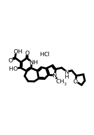 Cl.Cn1c(CNCC2CCCO2)cc2cc3c(cc21)CCCc1c-3[nH]c(=O)c(C(=O)O)c1O